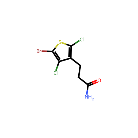 NC(=O)[CH]Cc1c(Cl)sc(Br)c1Cl